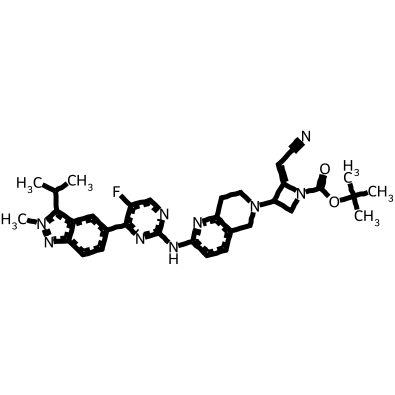 CC(C)c1c2cc(-c3nc(Nc4ccc5c(n4)CCN(C4CN(C(=O)OC(C)(C)C)C4=CC#N)C5)ncc3F)ccc2nn1C